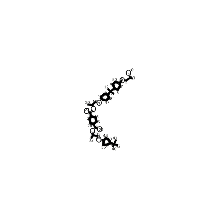 COC(C)COc1ccc(C(C)(C)c2ccc(OCC(C)OC(=O)c3ccc(C(=O)OC(C)COc4ccc(C(C)(C)C)cc4)cc3)cc2)cc1